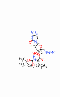 CC(C)[C@H](NC(=O)OC(C)(C)C)C(=O)OC[C@@]1(CN=[N+]=[N-])O[C@@H](n2ccc(N)nc2=O)[C@H](F)[C@@H]1O